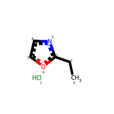 CCc1ncco1.Cl